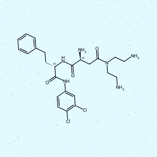 NCCN(CCN)C(=O)C[C@H](N)C(=O)N[C@@H](CCc1ccccc1)C(=O)Nc1ccc(Cl)c(Cl)c1